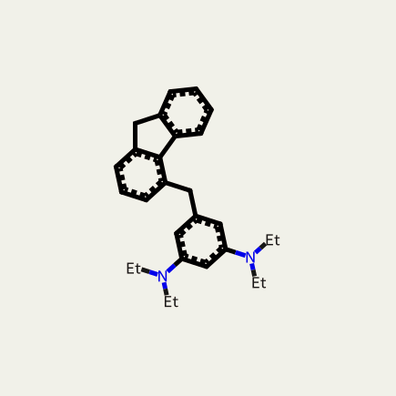 CCN(CC)c1cc(Cc2cccc3c2-c2ccccc2C3)cc(N(CC)CC)c1